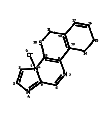 [O-][N+]12C=CN=C1C=NC1=C2SCC2=C1CCC=C2